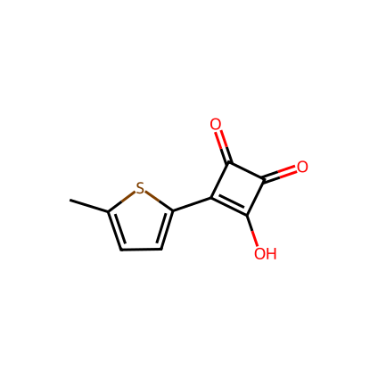 Cc1ccc(-c2c(O)c(=O)c2=O)s1